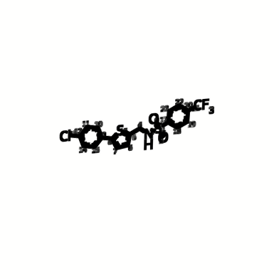 O=S(=O)(NCc1ccc(-c2ccc(Cl)cc2)s1)c1ccc(C(F)(F)F)cc1